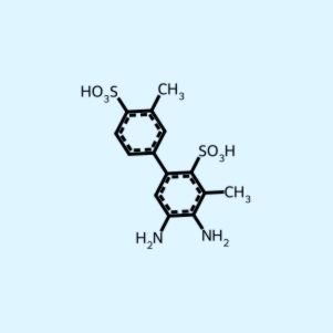 Cc1cc(-c2cc(N)c(N)c(C)c2S(=O)(=O)O)ccc1S(=O)(=O)O